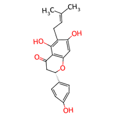 CC(C)=CCc1c(O)cc2c(c1O)C(=O)C[C@@H](c1ccc(O)cc1)O2